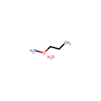 CCCON.O